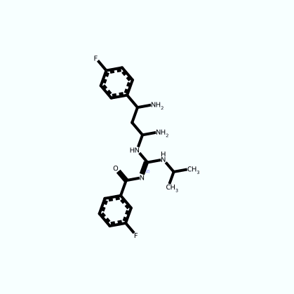 CC(C)N/C(=N/C(=O)c1cccc(F)c1)NC(N)CC(N)c1ccc(F)cc1